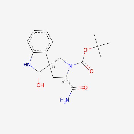 CC(C)(C)OC(=O)N1C[C@@]2(C[C@H]1C(N)=O)c1ccccc1NC2O